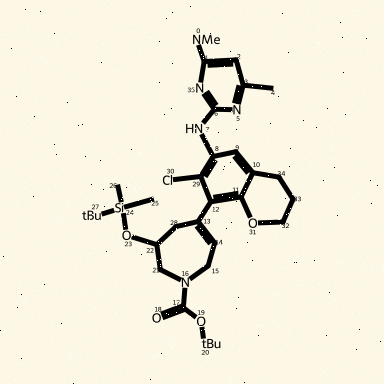 CNc1cc(C)nc(Nc2cc3c(c(C4=CCN(C(=O)OC(C)(C)C)CC(O[Si](C)(C)C(C)(C)C)C4)c2Cl)OCCC3)n1